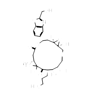 CCCC[C@H]1C(=O)C(C)(C)[C@@H](O)CC(=O)O[C@H](c2ccc3oc(CO)nc3c2)C[C@@H]2O[C@]2(C)CCC[C@H](C)[C@@H]1O